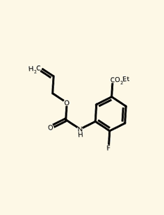 C=CCOC(=O)Nc1cc(C(=O)OCC)ccc1F